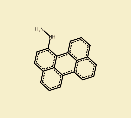 NNc1ccc2cccc3c4cccc5cccc(c1c23)c54